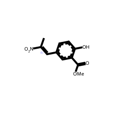 COC(=O)c1cc(/C=C(\C)[N+](=O)[O-])ccc1O